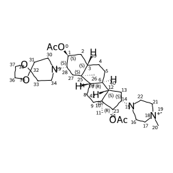 CC(=O)O[C@H]1C[C@@H]2CC[C@@H]3[C@H](CC[C@@]4(C)[C@H]3C[C@H](N3CC[N+](C)(C)CC3)[C@@H]4OC(C)=O)[C@@]2(C)C[C@@H]1N1CCC2(CC1)OCCO2